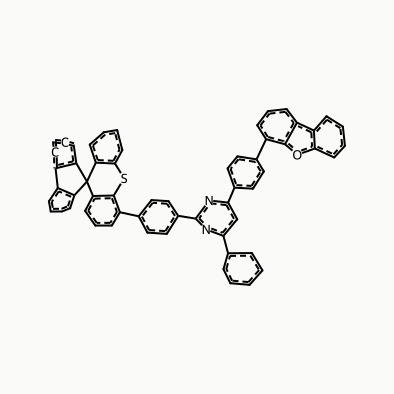 c1ccc(-c2cc(-c3ccc(-c4cccc5c4oc4ccccc45)cc3)nc(-c3ccc(-c4cccc5c4Sc4ccccc4C54c5ccccc5-c5ccccc54)cc3)n2)cc1